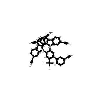 N#Cc1cccc(-c2cc(-n3c4cc(C#N)ccc4c4ccc(C#N)cc43)c(-n3c4cc(C#N)ccc4c4ccc(C#N)cc43)cc2C(F)(F)F)c1